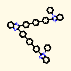 c1ccc(-n2c(-c3ccc(-c4ccc(-c5ccc(-c6nc7ccccc7nc6-c6ccc(-c7ccc(-c8ccc(-c9nc%10ccccc%10n9-c9ccccc9)cc8)cc7)cc6)cc5)cc4)cc3)nc3ccccc32)cc1